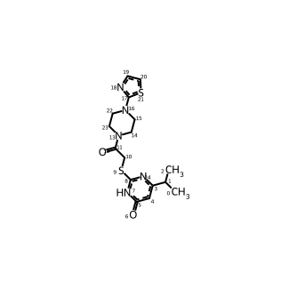 CC(C)c1cc(=O)[nH]c(SCC(=O)N2CCN(c3nccs3)CC2)n1